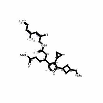 C=C/C=C(C)\C=C(\Cl)CNC(=O)CC(CCC(=O)OC)c1noc(C2CC(CC(C)(C)C)C2)c1C1CC1